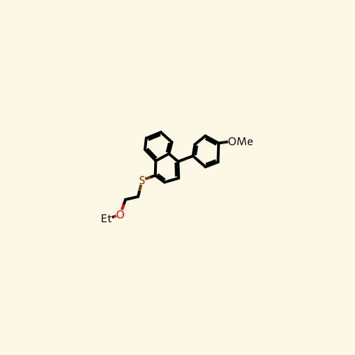 CCOCCSc1ccc(-c2ccc(OC)cc2)c2ccccc12